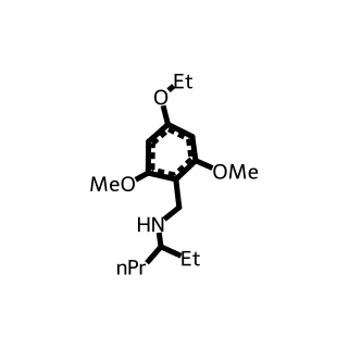 CCCC(CC)NCc1c(OC)cc(OCC)cc1OC